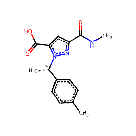 CNC(=O)c1cc(C(=O)O)n([C@@H](C)c2ccc(C)cc2)n1